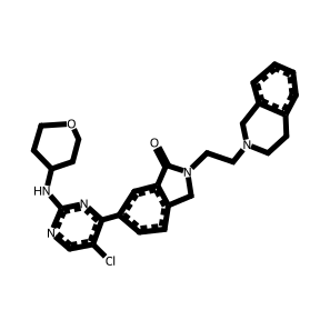 O=C1c2cc(-c3nc(NC4CCOCC4)ncc3Cl)ccc2CN1CCN1CCc2ccccc2C1